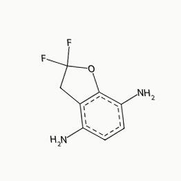 Nc1ccc(N)c2c1CC(F)(F)O2